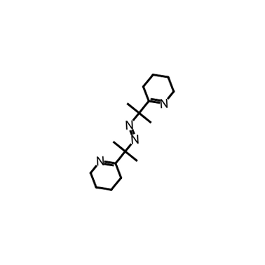 CC(C)(N=NC(C)(C)C1=NCCCC1)C1=NCCCC1